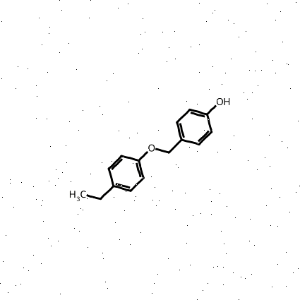 CCc1ccc(OCc2ccc(O)cc2)cc1